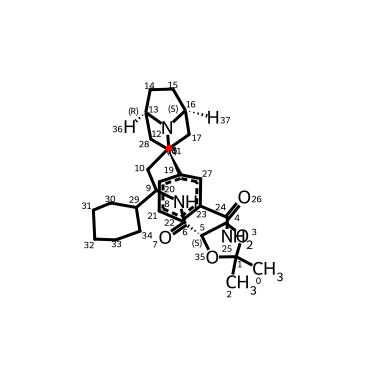 CC1(C)OC[C@@H](C(=O)NC(CCN2[C@@H]3CC[C@H]2C[C@@H](c2cccc(C(N)=O)c2)C3)C2CCCCC2)O1